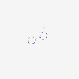 COc1ncccc1-c1cccc(C)n1